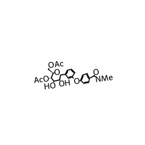 CNC(=O)c1ccc(Oc2cccc(C3O[C@H](COC(C)=O)[C@@H](OC(C)=O)[C@H](O)[C@@H]3O)c2)cc1